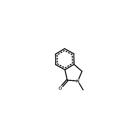 CN1Cc2[c]cccc2C1=O